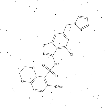 COc1ccc2c(c1S(=O)(=O)Nc1noc3cc(Cn4cccn4)cc(Cl)c13)OCCO2